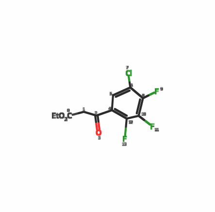 CCOC(=O)CC(=O)c1cc(Cl)c(F)c(F)c1F